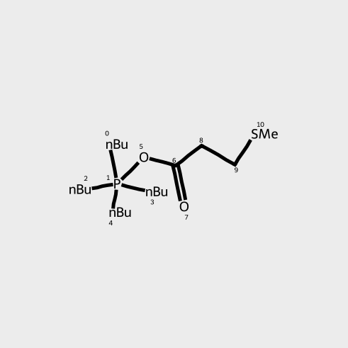 CCCCP(CCCC)(CCCC)(CCCC)OC(=O)CCSC